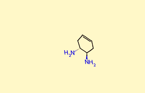 N[C@@H]1CC=CC[C@H]1N